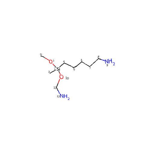 CO[Si](C)(CCCCCN)OCN